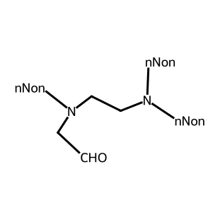 CCCCCCCCCN(CC=O)CCN(CCCCCCCCC)CCCCCCCCC